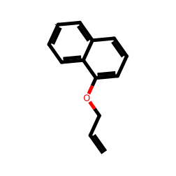 C=CCOc1cccc2c[c]ccc12